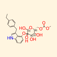 CCc1ccc(Cc2c[nH]c3cccc(O[C@]4(O)[C@@H](O)O[C@H](COC(=O)OC)[C@@H](O)[C@@H]4O)c23)cc1